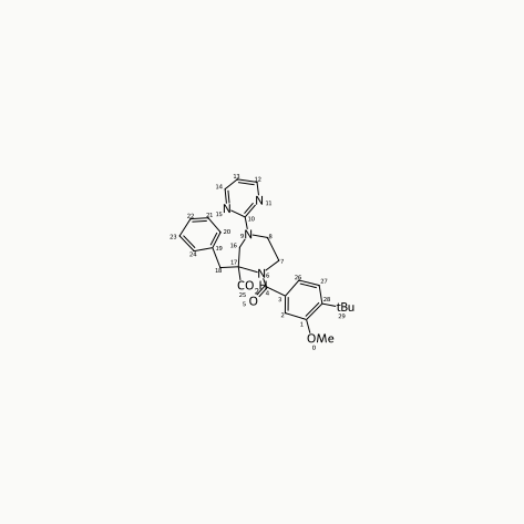 COc1cc(C(=O)N2CCN(c3ncccn3)CC2(Cc2ccccc2)C(=O)O)ccc1C(C)(C)C